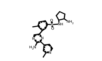 Cc1cc(-c2nc(-c3cc(S(=O)(=O)NC4CCCC4N)ccc3C)cnc2N)ccn1